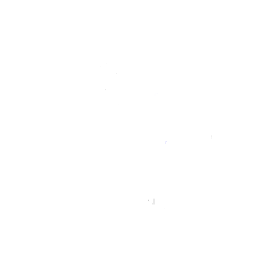 C=C(C)C/C=C\C=C(/C)CCN